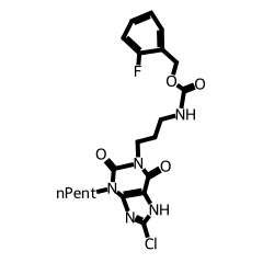 CCCCCn1c(=O)n(CCCNC(=O)OCc2ccccc2F)c(=O)c2[nH]c(Cl)nc21